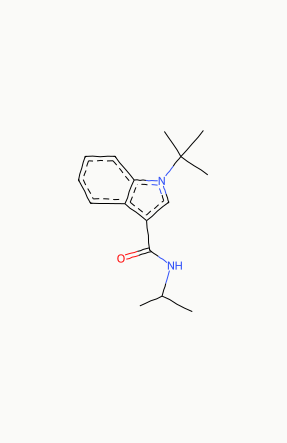 CC(C)NC(=O)c1cn(C(C)(C)C)c2ccccc12